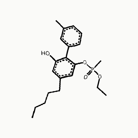 CCCCCc1cc(O)c(-c2cccc(C)c2)c(OP(C)(=O)OCC)c1